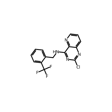 FC(F)(F)c1ccccc1CNc1nc(Cl)nc2cccnc12